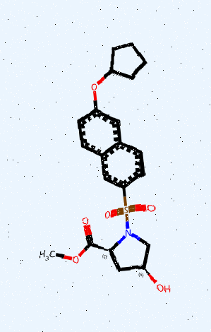 COC(=O)[C@@H]1C[C@H](O)CN1S(=O)(=O)c1ccc2cc(OC3CCCC3)ccc2c1